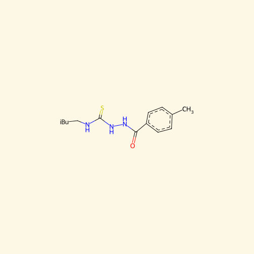 CCC(C)CNC(=S)NNC(=O)c1ccc(C)cc1